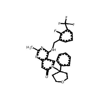 Cc1nc(NCc2cccc(C(F)(F)F)c2F)c2cn(C3(c4ccccc4)CCOCC3)c(=O)cc2n1